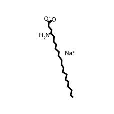 CCCCCCCCCCCCCCCCCC(N)CCC(=O)[O-].[Na+]